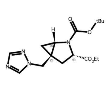 CCOC(=O)[C@@H]1C[C@]2(Cn3cncn3)C[C@@H]2N1C(=O)OC(C)(C)C